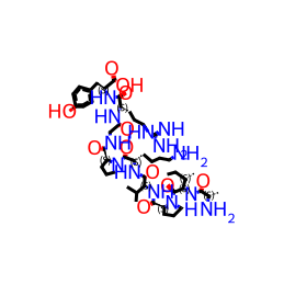 CC[C@H](C)[C@H](NC(=O)[C@H](C)N)C(=O)N1CCC[C@H]1C(=O)N[C@H](C(=O)N[C@@H](CCCCN)C(=O)N1CCC[C@H]1C(=O)NCC(=O)N[C@@H](CCCNC(=N)N)C(=O)N[C@@H](Cc1ccc(O)cc1)C(=O)O)C(C)C